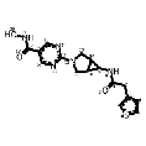 O=C(Cc1ccsc1)NC1C2CN(c3ncc(C(=O)NO)cn3)CC21